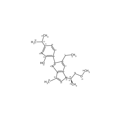 CCc1cc2c(nc1-c1ccc(C(C)C)nc1O)c(C)cn2[C@H](C)COC